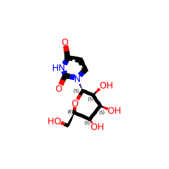 O=c1ccn([C@H]2O[C@H](CO)[C@@H](O)[C@H](O)[C@@H]2O)c(=O)[nH]1